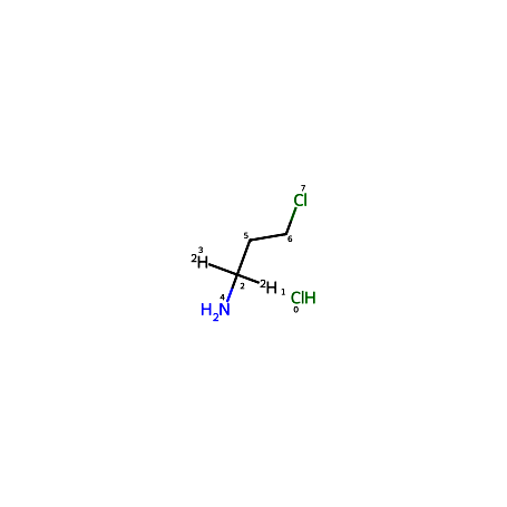 Cl.[2H]C([2H])(N)CCCl